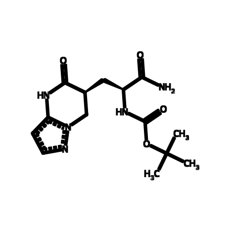 CC(C)(C)OC(=O)N[C@@H](C[C@H]1Cn2nccc2NC1=O)C(N)=O